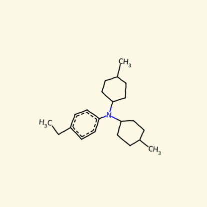 CCc1ccc(N(C2CCC(C)CC2)C2CCC(C)CC2)cc1